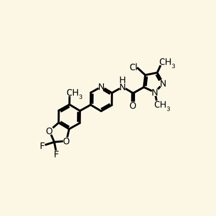 Cc1cc2c(cc1-c1ccc(NC(=O)c3c(Cl)c(C)nn3C)nc1)OC(F)(F)O2